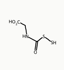 O=C(O)CNC(=O)SS